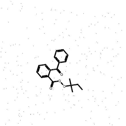 CCC(C)(C)OOC(=O)c1ccccc1C(=O)c1ccccc1